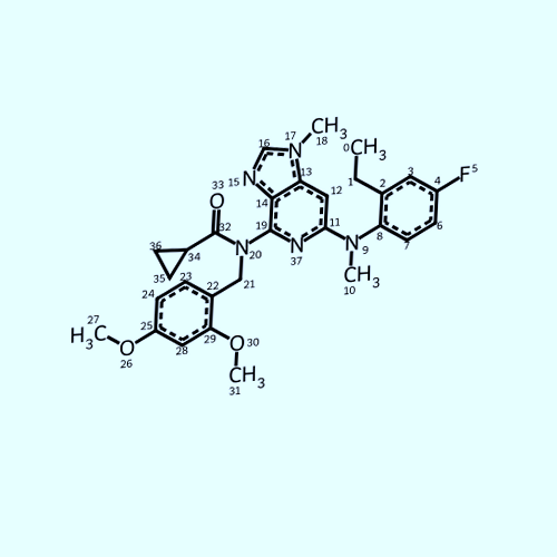 CCc1cc(F)ccc1N(C)c1cc2c(ncn2C)c(N(Cc2ccc(OC)cc2OC)C(=O)C2CC2)n1